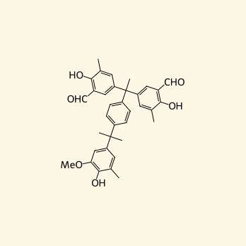 COc1cc(C(C)(C)c2ccc(C(C)(c3cc(C)c(O)c(C=O)c3)c3cc(C)c(O)c(C=O)c3)cc2)cc(C)c1O